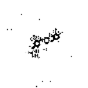 COc1ccc(CN2CCN(C(C)c3ccc(C(=O)NC(=N)N)cc3S(C)(=O)=O)CC2)c(OC)c1OC.Cl